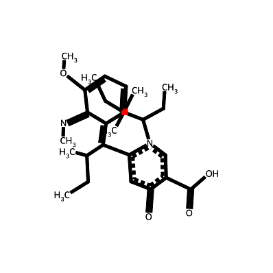 CCC(C)/C(=C1/C=CC=C(OC)/C1=N/C)c1cc(=O)c(C(=O)O)cn1C(CC)C(C)(C)CC